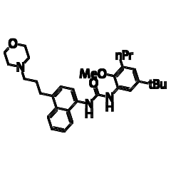 CCCc1cc(C(C)(C)C)cc(NC(=O)Nc2ccc(CCCN3CCOCC3)c3ccccc23)c1OC